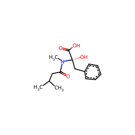 CC(C)CC(=O)N(C)[C@](O)(Cc1ccccc1)C(=O)O